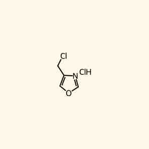 Cl.ClCc1cocn1